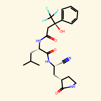 CC(C)C[C@H](NC(=O)C[C@@](O)(c1ccccc1)C(F)(F)F)C(=O)N[C@H](C#N)C[C@@H]1CCNC1=O